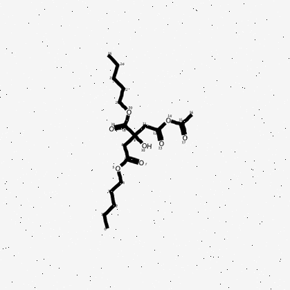 CCCCCOC(=O)CC(O)(CC(=O)OC(C)=O)C(=O)OCCCCC